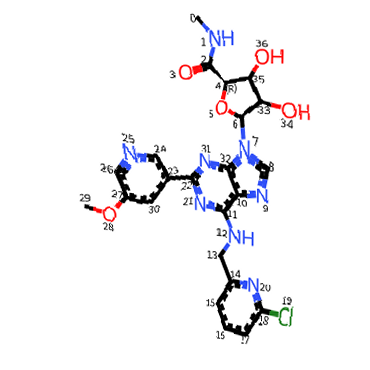 CNC(=O)[C@@H]1OC(n2cnc3c(NCc4cccc(Cl)n4)nc(-c4cncc(OC)c4)nc32)C(O)C1O